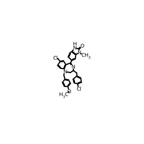 COc1ccc(CN2CC(Cc3ccc(Cl)cc3)N=C(c3ccc4[nH]c(=O)n(C)c4c3)c3cc(Cl)ccc32)cc1